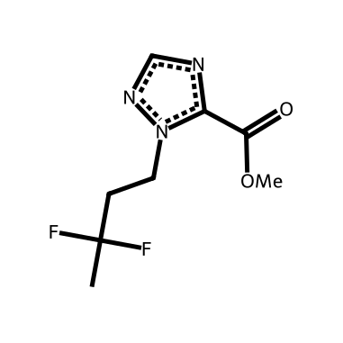 COC(=O)c1ncnn1CCC(C)(F)F